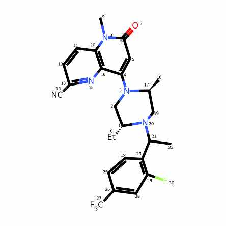 CC[C@@H]1CN(c2cc(=O)n(C)c3ccc(C#N)nc23)[C@@H](C)CN1C(C)c1ccc(C(F)(F)F)cc1F